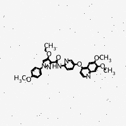 CCOc1cn(-c2ccc(OC)cc2)nc1C(=O)Nc1ccc(Oc2ccnc3cc(OC)c(OC)cc23)cn1